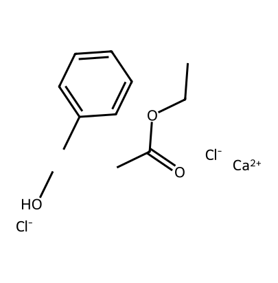 CCOC(C)=O.CO.Cc1ccccc1.[Ca+2].[Cl-].[Cl-]